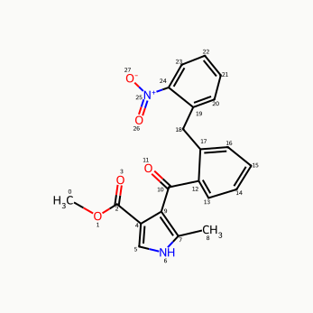 COC(=O)c1c[nH]c(C)c1C(=O)c1ccccc1Cc1ccccc1[N+](=O)[O-]